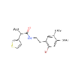 COc1cc(Br)c(CCNC(=O)C(OC(C)=O)c2ccsc2)cc1OC